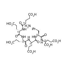 CC(C)C[C@H](NC(=O)[C@H](CCC(=O)O)NC(=O)[C@H](CCC(=O)O)NC(=O)[C@H](CCC(=O)O)NC(=O)[C@@H](N)CCC(=O)O)C(=O)N[C@@H](CCC(=O)O)C(=O)O